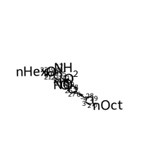 CCCCCCCCc1ccc(C#Cc2ccc(OC(=O)c3cc(N)c(O[C@H](C)CCCCCC)cc3[N+](=O)[O-])cc2)cc1